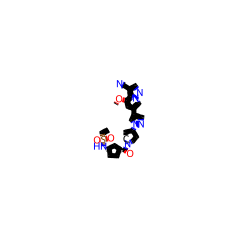 C=CS(=O)(=O)N[C@H]1CC[C@H](C(=O)N2CCC(n3cc(-c4cc(OC)c5c(C#N)cnn5c4)cn3)CC2)C1